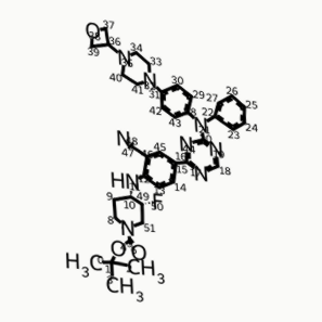 CC(C)(C)OC(=O)N1CC[C@H](Nc2ccc(-c3ncnc(N(c4ccccc4)c4ccc(N5CCN(C6COC6)CC5)cc4)n3)cc2C#N)[C@H](F)C1